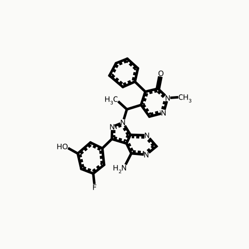 CC(c1cnn(C)c(=O)c1-c1ccccc1)n1nc(-c2cc(O)cc(F)c2)c2c(N)ncnc21